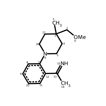 COCC1(C)CCN(c2ccccc2C(C)=N)CC1